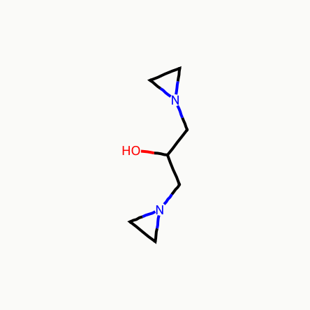 OC(CN1CC1)CN1CC1